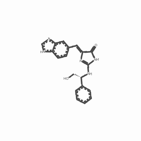 O=C1NC(N[C@@H](CO)c2ccccc2)=N/C1=C\c1ccc2[nH]cnc2c1